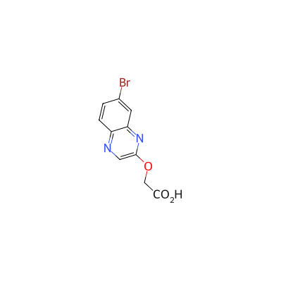 O=C(O)COc1cnc2ccc(Br)cc2n1